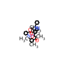 Cc1cc([C@@H](C)Nc2ccccc2C(=O)OC(C)(C)C)c2oc(-c3ccc4c(cnn4Cc4ccccc4)c3)c(C)c(=O)c2c1